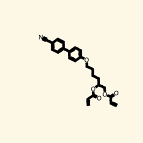 C=CC(=O)OCC(CCCCOc1ccc(-c2ccc(C#N)cc2)cc1)OC(=O)C=C